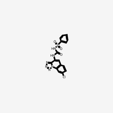 O=C(Nc1cc2ccc(Cl)cc2n2nnnc12)NS(=O)(=O)c1ccccc1